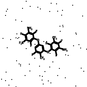 Nc1c(F)c(Oc2cc(F)c(C(F)(F)F)c(Oc3c(F)c(N)c(F)c(C(F)(F)F)c3F)c2)c(F)c(C(F)(F)F)c1F